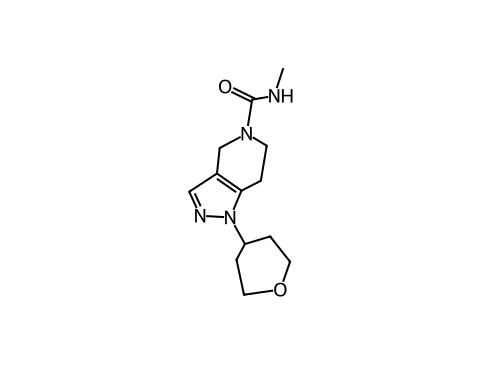 CNC(=O)N1CCc2c(cnn2C2CCOCC2)C1